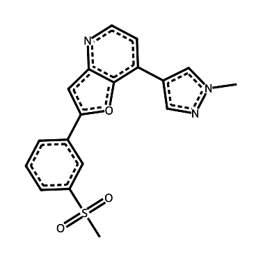 Cn1cc(-c2ccnc3cc(-c4cccc(S(C)(=O)=O)c4)oc23)cn1